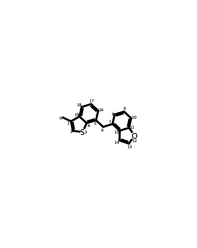 Cc1csc2c(Cc3cccc4occc34)cccc12